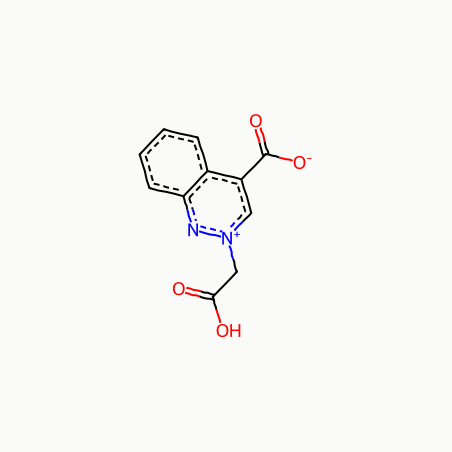 O=C(O)C[n+]1cc(C(=O)[O-])c2ccccc2n1